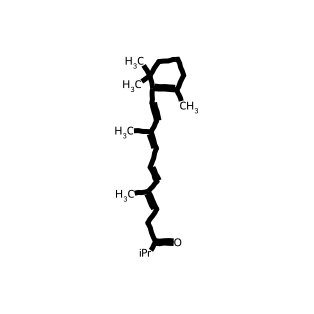 CC1=C(/C=C/C(C)=C/C=C/C(C)=C/CC(=O)C(C)C)C(C)(C)CCC1